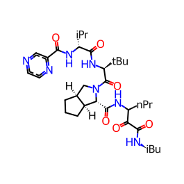 CCCC(NC(=O)[C@@H]1[C@H]2CCC[C@H]2CN1C(=O)[C@@H](NC(=O)[C@H](NC(=O)c1cnccn1)C(C)C)C(C)(C)C)C(=O)C(=O)N[C@H](C)CC